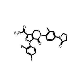 Cc1cc(N2CCCC2=O)ccc1N1CCc2c(C(N)=O)nn(-c3ccc(F)cc3F)c2C1=O